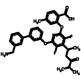 Cc1ccc(C(=O)O)c(Oc2nc(Oc3cccc(-c4cccc(CN)c4)c3)c(F)c(N(C)CC(=O)N(C)C)c2F)c1